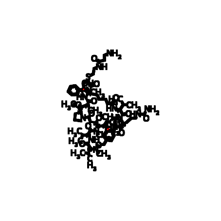 CC[C@H](C)[C@@H]([C@@H](CC(=O)N1CCC[C@H]1[C@H](OC)[C@@H](C)C(=O)N[C@H](C)[C@@H](O)c1ccccc1)OC)N(C)C(=O)[C@@H](NC(=O)[C@H](C(C)C)N(C)OCc1ccc(NC(=O)[C@H](CCCNC(N)=O)NC(=O)[C@@H](NC(=O)CCCCCN2C(=O)CC(SCCNC(=O)CCN)C2=O)C(C)C)cc1)C(C)C